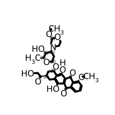 COc1cccc2c1C(=O)c1c(O)c3c(c(O)c1C2=O)C[C@@H](C(=O)CO)C[C@@H]3O[C@H]1C[C@H](N2CCO[C@H](OC)C2)[C@H](O)[C@H](C)O1